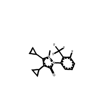 Cn1c(C2CC2)c(C2CC2)c(=O)n1-c1cccc(F)c1C(F)(F)F